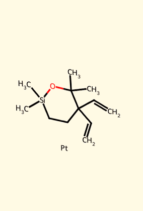 C=CC1(C=C)CC[Si](C)(C)OC1(C)C.[Pt]